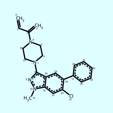 C=CC(=C)N1CCN(c2nn(C)c3cc(Cl)c(-c4ccccc4)cc23)CC1